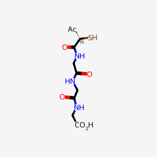 CC(=O)[C@H](S)C(=O)NCC(=O)NCC(=O)NCC(=O)O